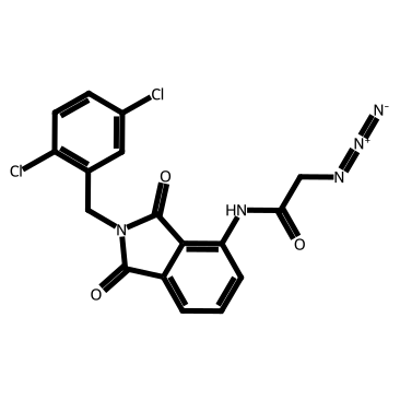 [N-]=[N+]=NCC(=O)Nc1cccc2c1C(=O)N(Cc1cc(Cl)ccc1Cl)C2=O